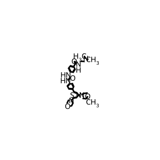 CC1CN(N2C=C(c3ccc(NC(=O)Nc4ccc(C(=O)NCCN(C)C)cc4)cc3)SC(N3CCOCC3)=C2)CCO1